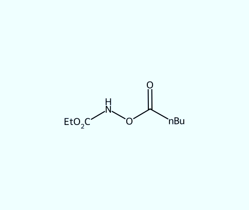 CCCCC(=O)ONC(=O)OCC